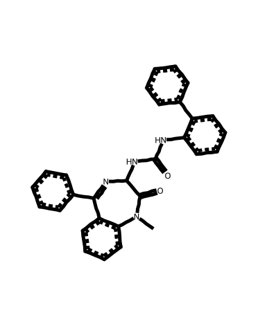 CN1C(=O)C(NC(=O)Nc2ccccc2-c2ccccc2)N=C(c2ccccc2)c2ccccc21